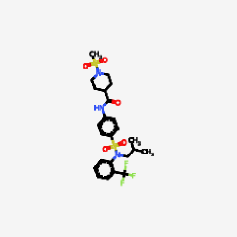 CC(C)CN(c1ccccc1C(F)(F)F)S(=O)(=O)c1ccc(NC(=O)C2CCN(S(C)(=O)=O)CC2)cc1